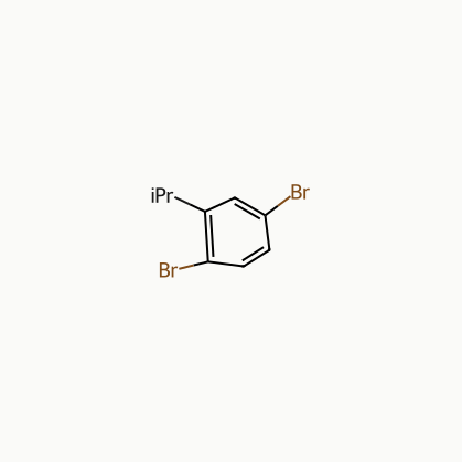 [CH2]C(C)c1cc(Br)ccc1Br